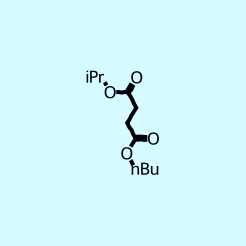 CCCCOC(=O)CCC(=O)OC(C)C